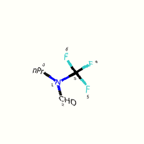 CCCN(C=O)C(F)(F)F